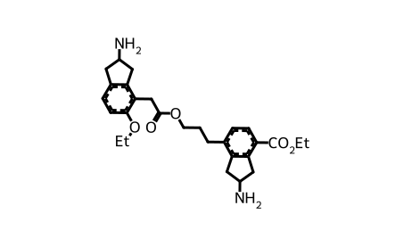 CCOC(=O)c1ccc(CCCOC(=O)Cc2c(OCC)ccc3c2CC(N)C3)c2c1CC(N)C2